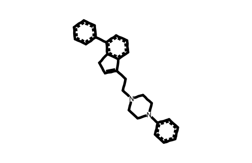 C1=C(CCN2CCN(c3ccccc3)CC2)c2cccc(-c3ccccc3)c2C1